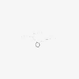 CCCCCCCCCCCCCCc1ccccc1OC(=O)C(CCCCCC)OS(=O)(=O)O